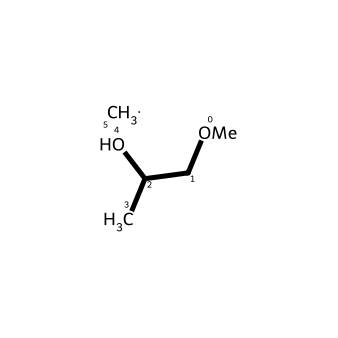 COCC(C)O.[CH3]